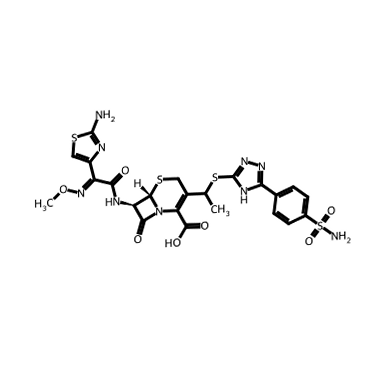 CON=C(C(=O)N[C@@H]1C(=O)N2C(C(=O)O)=C(C(C)Sc3nnc(-c4ccc(S(N)(=O)=O)cc4)[nH]3)CS[C@@H]12)c1csc(N)n1